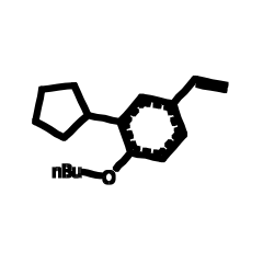 C=Cc1ccc(OCCCC)c(C2CCCC2)c1